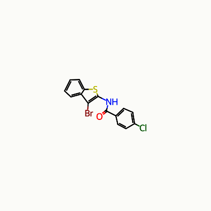 O=C(Nc1sc2ccccc2c1Br)c1ccc(Cl)cc1